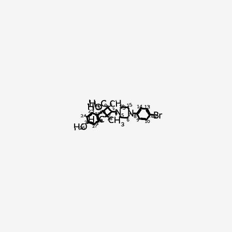 CC1(C)C(N2CCN(c3ccc(Br)cc3)CC2)C(C)(C)C1(O)c1ccc(O)cc1